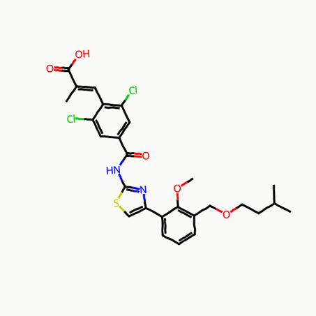 COc1c(COCCC(C)C)cccc1-c1csc(NC(=O)c2cc(Cl)c(/C=C(\C)C(=O)O)c(Cl)c2)n1